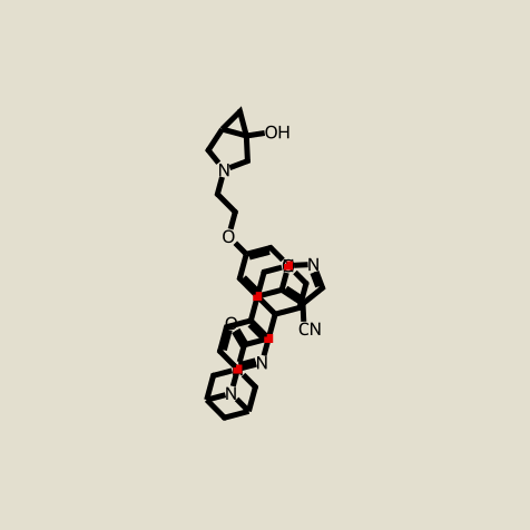 N#Cc1cnn2cc(OCCN3CC4CC4(O)C3)cc(-c3ccc(N4C5CC4CN(C(=O)CC4CCOCC4)C5)nc3)c12